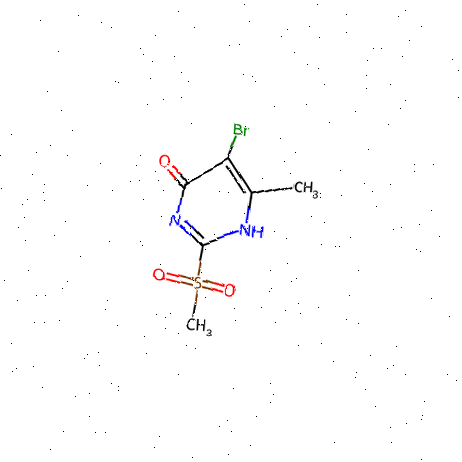 Cc1[nH]c(S(C)(=O)=O)nc(=O)c1Br